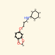 c1cc2c(cc1OCCCNC1CCCCC1)OCO2